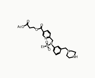 CCS(=O)(=O)N(Cc1ccc(C(=O)OCCC(=O)OC(C)=O)cn1)c1cccc(CN2CCNCC2)c1